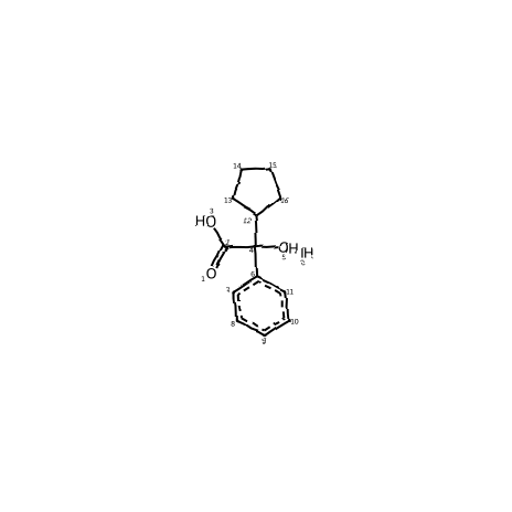 I.O=C(O)C(O)(c1ccccc1)C1CCCC1